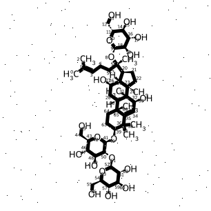 CC(C)=CCC[C@](C)(O[C@@H]1O[C@H](CO)[C@@H](O)[C@H](O)[C@H]1O)[C@H]1CC[C@]2(C)[C@@H]1[C@H](O)C[C@H]1[C@@]2(C)[C@@H](O)C=C2C(C)(C)[C@@H](O[C@@H]3O[C@H](CO)[C@@H](O)[C@H](O)[C@H]3O[C@@H]3O[C@H](CO)[C@@H](O)[C@H](O)[C@H]3O)CC[C@@]21C